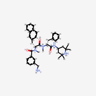 CN(C(=O)c1cccc(CN)c1)[C@H](Cc1ccc2ccccc2c1)C(=O)N(C)[C@H](Cc1ccccc1)C(=O)NC1CC(C)(C)NC(C)(C)C1